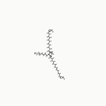 CCCCCCCCCCCCCCN1C=CN(CCCCCCCCCCCC)C1CCCCCC